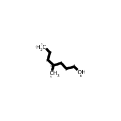 [CH2]CCC(C)CCCO